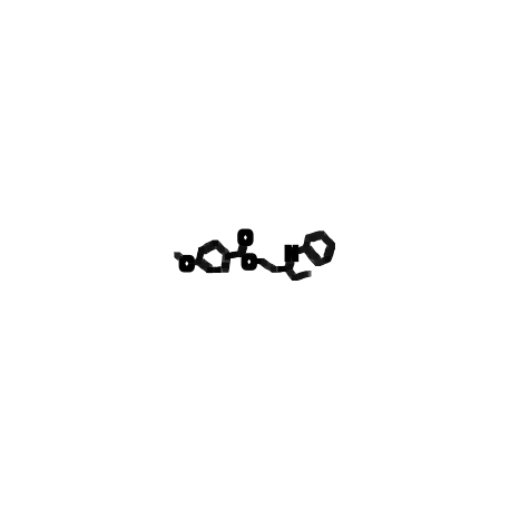 CCC(CCOC(=O)c1ccc(OC)cc1)=Nc1ccccc1